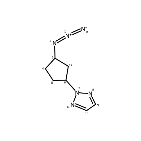 [N-]=[N+]=NC1CCC(n2nccn2)C1